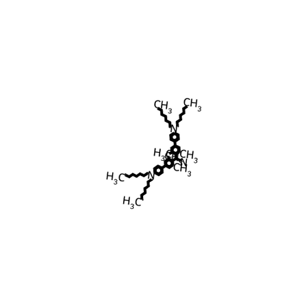 CCCCCCCCN(CCCCCCCC)c1ccc(-c2cc(C)c(C(C#N)c3c(C)cc(-c4ccc(N(CCCCCCCC)CCCCCCCC)cc4)cc3C)c(C)c2)cc1